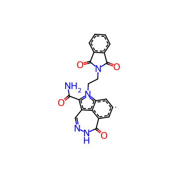 NC(=O)c1c2c3c(c[c]cc3n1CCN1C(=O)c3ccccc3C1=O)C(=O)NN=C2